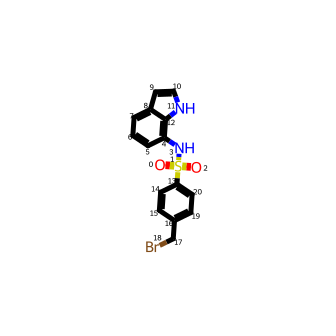 O=S(=O)(Nc1cccc2cc[nH]c12)c1ccc(CBr)cc1